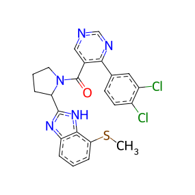 CSc1cccc2nc(C3CCCN3C(=O)c3cncnc3-c3ccc(Cl)c(Cl)c3)[nH]c12